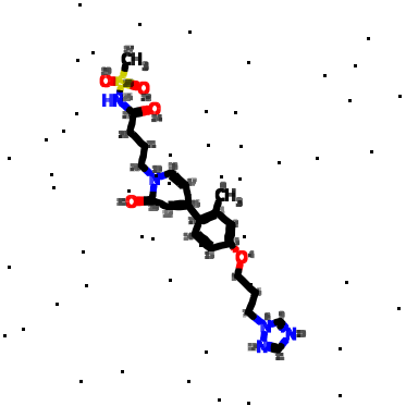 Cc1cc(OCCCn2cncn2)ccc1-c1ccn(CCCC(=O)NS(C)(=O)=O)c(=O)c1